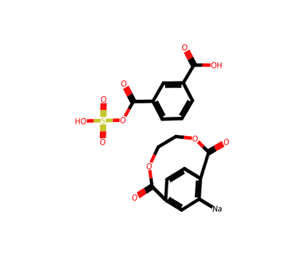 O=C(O)c1cccc(C(=O)OS(=O)(=O)O)c1.O=C1OCCOC(=O)c2ccc1c[c]2[Na]